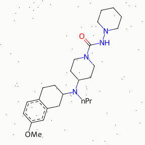 CCCN(C1CCN(C(=O)NN2CCCCC2)CC1)C1CCc2ccc(OC)cc2C1